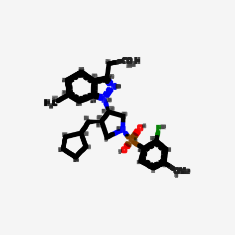 COc1ccc(S(=O)(=O)N2C[C@@H](CC3CCCC3)[C@@H](n3nc(CC(=O)O)c4ccc(C)cc43)C2)c(F)c1